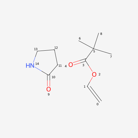 C=COC(=O)C(C)(C)C.O=C1CCCN1